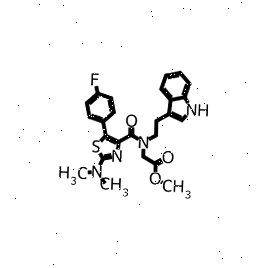 COC(=O)CN(CCc1c[nH]c2ccccc12)C(=O)c1nc(N(C)C)sc1-c1ccc(F)cc1